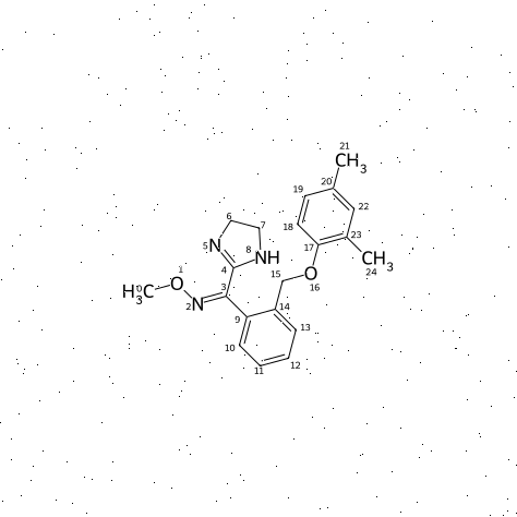 CON=C(C1=NCCN1)c1ccccc1COc1ccc(C)cc1C